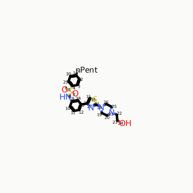 CCCCCc1ccc(S(=O)(=O)Nc2cccc(-c3csc(N4CCN(CCO)CC4)n3)c2)cc1